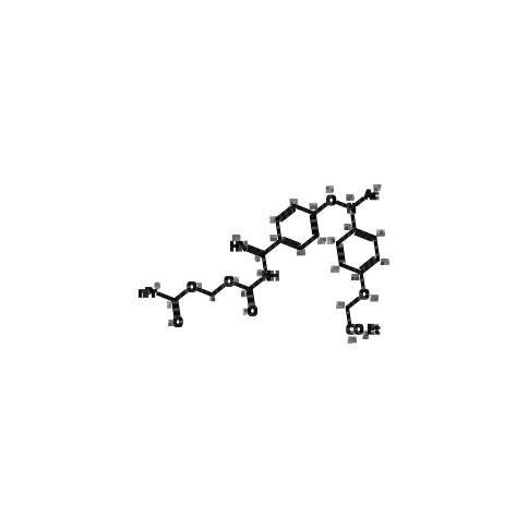 CCCC(=O)OCOC(=O)NC(=N)c1ccc(ON(C(C)=O)c2ccc(OCC(=O)OCC)cc2)cc1